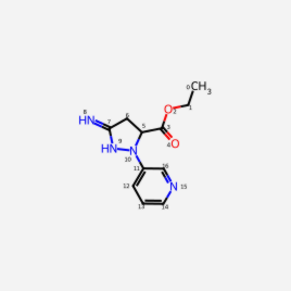 CCOC(=O)C1CC(=N)NN1c1cccnc1